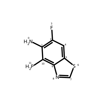 Nc1c(F)cc2scnc2c1P